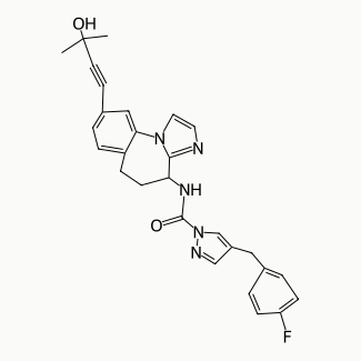 CC(C)(O)C#Cc1ccc2c(c1)-n1ccnc1C(NC(=O)n1cc(Cc3ccc(F)cc3)cn1)CC2